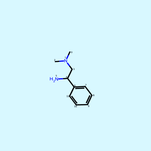 CN(C)CC(N)c1ccccc1